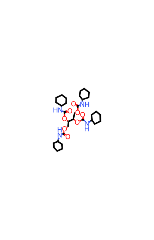 O=C(NC1CCCCC1)OCC(OC(=O)NC1CCCCC1)C(COC(=O)NC1CCCCC1)OC(=O)NC1CCCCC1